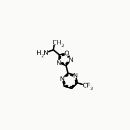 CC(N)c1nc(-c2nccc(C(F)(F)F)n2)no1